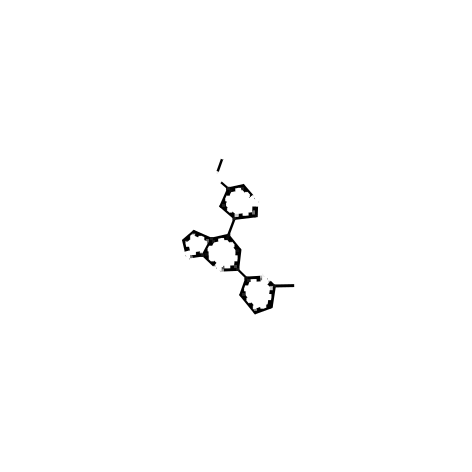 COc1cncc(-c2cc(-c3cccc(C)n3)nc3[nH]ccc23)c1